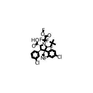 CC(C)(C)C[C@@H]1N(C(F)(F)C(=O)OF)[C@@H](C(=O)O)[C@H](c2cccc(Cl)c2)[C@@]1(C#N)c1c(F)cc(Cl)cc1F